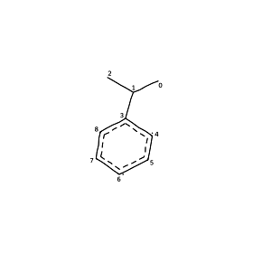 CC(C)c1[c]c[c]cc1